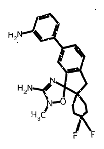 CN1OC2(N=C1N)c1cc(-c3cccc(N)c3)ccc1CC21CCC(F)(F)CC1